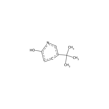 CC(C)(C)c1ccc(O)nc1